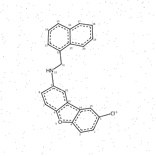 Clc1ccc2oc3ccc(NCc4cccc5ccccc45)cc3c2c1